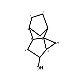 OC1CC2C3CCC(C3)C23CC13